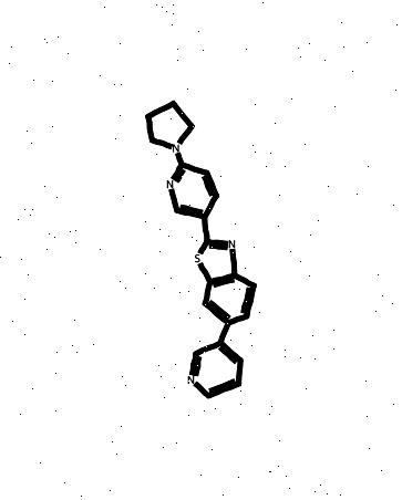 c1cncc(-c2ccc3nc(-c4ccc(N5CCCC5)nc4)sc3c2)c1